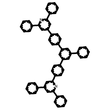 c1ccc(-c2cc(-c3ccc(-c4cc(-c5ccccc5)nc(-c5ccccc5)c4)cc3)cc(-c3ccc(-c4cc(-c5ccccc5)cc(-c5ccccc5)n4)cc3)c2)cc1